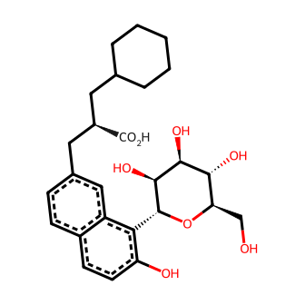 O=C(O)[C@@H](Cc1ccc2ccc(O)c([C@H]3O[C@H](CO)[C@@H](O)[C@H](O)[C@@H]3O)c2c1)CC1CCCCC1